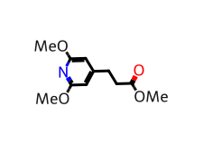 COC(=O)CCc1cc(OC)nc(OC)c1